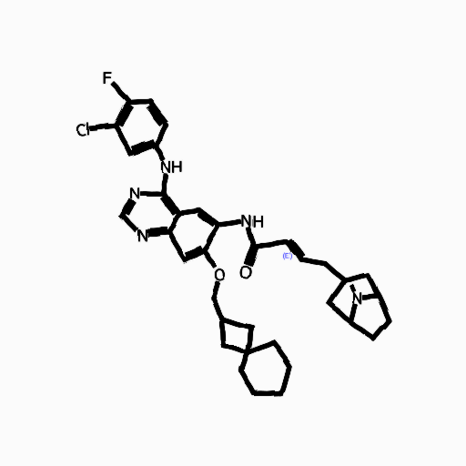 CN1C2CCC1CC(C/C=C/C(=O)Nc1cc3c(Nc4ccc(F)c(Cl)c4)ncnc3cc1OCC1CC3(CCCCC3)C1)C2